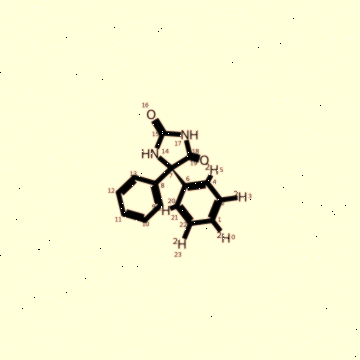 [2H]c1c([2H])c([2H])c([C@@]2(c3ccccc3)NC(=O)NC2=O)c([2H])c1[2H]